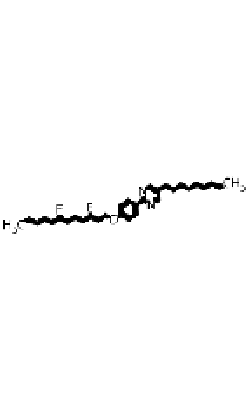 CCCCCCCCCc1cnc(-c2ccc(OCCC(F)CCCC(F)CCCCC)cc2)nc1